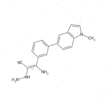 Cn1ccc2cc(-c3cccc(/C(N)=C(\C#N)NN)c3)ccc21